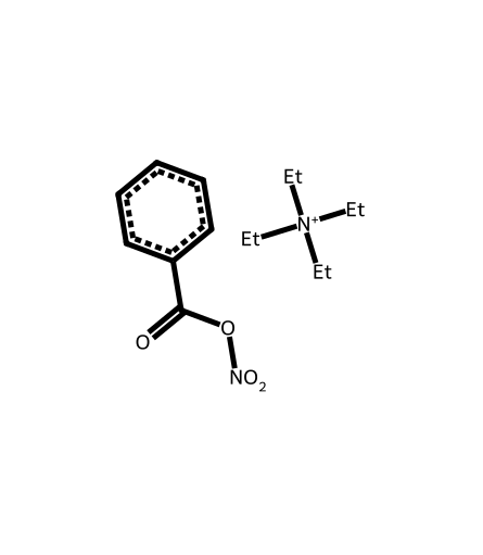 CC[N+](CC)(CC)CC.O=C(O[N+](=O)[O-])c1ccccc1